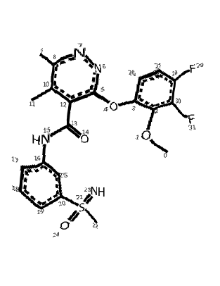 COc1c(Oc2nnc(C)c(C)c2C(=O)Nc2cccc(S(C)(=N)=O)c2)ccc(F)c1F